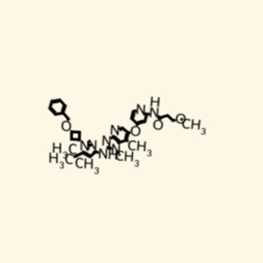 COCCC(=O)Nc1cc(Oc2cnc3nc(Nc4cc(C(C)(C)C)n([C@H]5C[C@H](OCc6ccccc6)C5)n4)n(C)c3c2C)ccn1